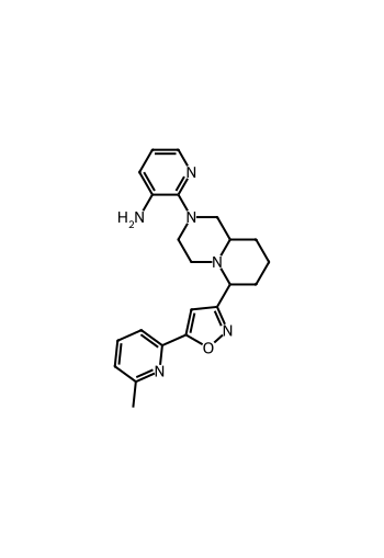 Cc1cccc(-c2cc(C3CCCC4CN(c5ncccc5N)CCN43)no2)n1